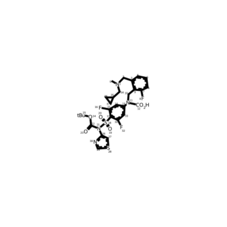 CN(Cc1cccc(F)c1CN(C(=O)O)c1cc(F)c(S(=O)(=O)N(C(=O)OC(C)(C)C)c2cscn2)c(F)c1)CC1CC1